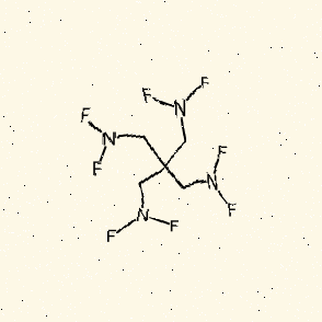 FN(F)CC(CN(F)F)(CN(F)F)CN(F)F